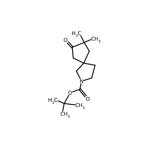 CC(C)(C)OC(=O)N1CCC2(CC(=O)C(C)(C)C2)C1